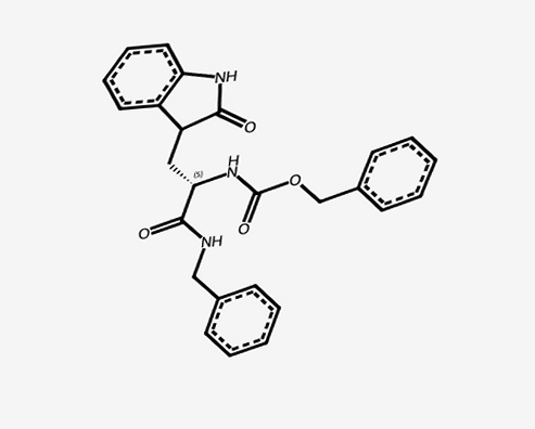 O=C(N[C@@H](CC1C(=O)Nc2ccccc21)C(=O)NCc1ccccc1)OCc1ccccc1